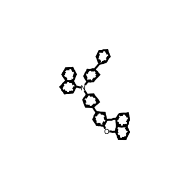 c1ccc(-c2ccc(N(c3ccc(-c4ccc5c(c4)-c4cccc6cccc(c46)O5)cc3)c3cccc4ccccc34)cc2)cc1